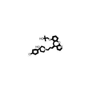 CC(C)(O)COc1cccc2c1CC(=CCCN1CCC(O)(c3ccc(Cl)cc3)CC1)c1cccnc1O2